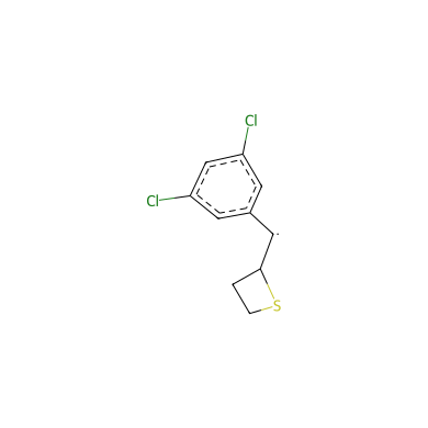 Clc1cc(Cl)cc([CH]C2CCS2)c1